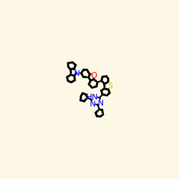 c1ccc(C2=NC(c3ccc4sc5cccc(-c6cccc7c6oc6ccc(-n8c9ccccc9c9ccccc98)cc67)c5c4c3)NC(c3ccccc3)=N2)cc1